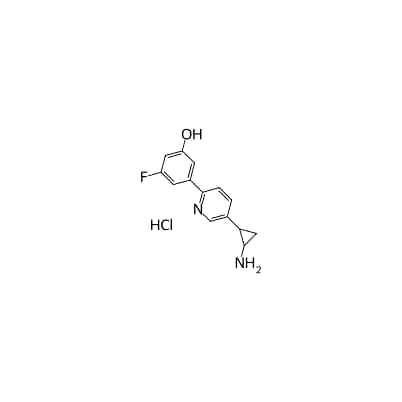 Cl.NC1CC1c1ccc(-c2cc(O)cc(F)c2)nc1